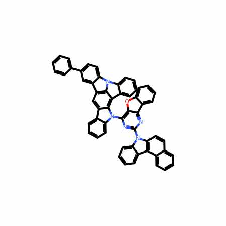 c1ccc(-c2ccc3c(c2)c2cc4c5ccccc5n(-c5nc(-n6c7ccccc7c7c8ccccc8ccc76)nc6c5oc5ccccc56)c4c4c5ccccc5n3c24)cc1